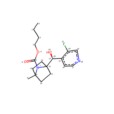 CCCCOC(=O)N1C2(C)CCC1([C@@H](O)c1ccncc1F)CC2